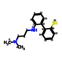 CN(C)CCCNc1ccccc1-c1ccccc1S